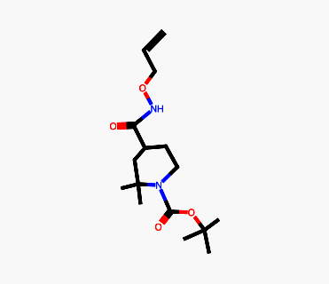 C=CCONC(=O)C1CCN(C(=O)OC(C)(C)C)C(C)(C)C1